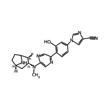 CN(c1cnc(-c2ccc(-n3cnc(C#N)c3)cc2O)cn1)[C@H]1C[C@@H]2CCC(N2)[C@H]1F